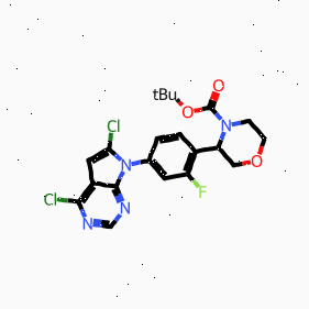 CC(C)(C)OC(=O)N1CCOCC1c1ccc(-n2c(Cl)cc3c(Cl)ncnc32)cc1F